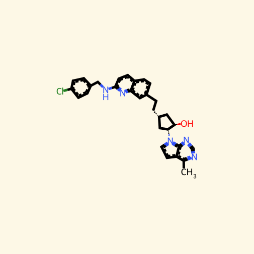 Cc1ncnc2c1ccn2[C@@H]1C[C@H](CCc2ccc3ccc(NCc4ccc(Cl)cc4)nc3c2)C[C@H]1O